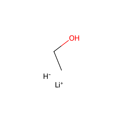 CCO.[H-].[Li+]